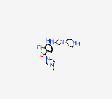 CN1CCN(C(=O)c2ccc(NC3CN(C4CCNCC4)C3)cc2Cl)CC1